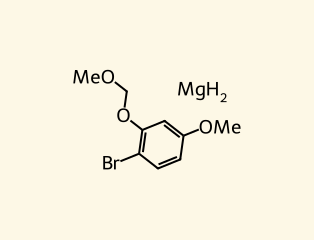 COCOc1cc(OC)ccc1Br.[MgH2]